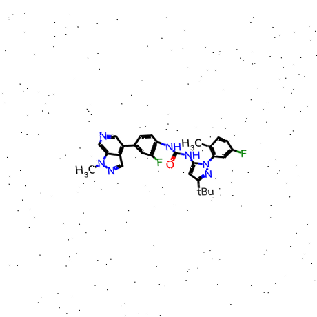 Cc1ccc(F)cc1-n1nc(C(C)(C)C)cc1NC(=O)Nc1ccc(-c2cncc3c2cnn3C)cc1F